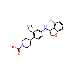 CCc1cc(NC2COc3cccc(Br)c32)ccc1C1CCN(C(=O)O)CC1